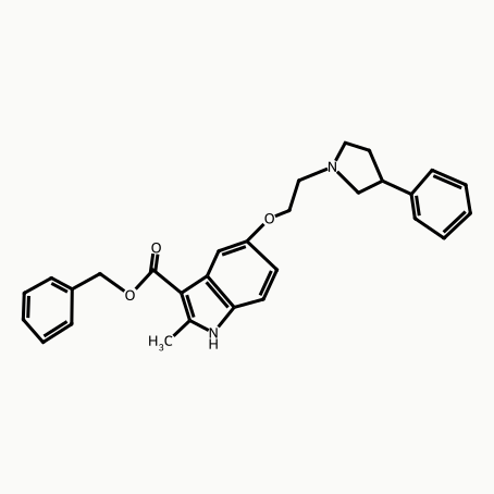 Cc1[nH]c2ccc(OCCN3CCC(c4ccccc4)C3)cc2c1C(=O)OCc1ccccc1